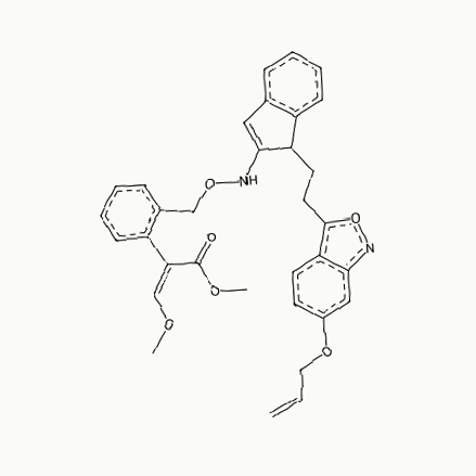 C=CCOc1ccc2c(CCC3C(NOCc4ccccc4C(=COC)C(=O)OC)=Cc4ccccc43)onc2c1